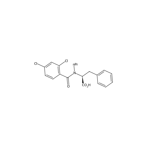 CCCN(C(=O)c1ccc(Cl)cc1Cl)[C@@H](Cc1ccccc1)C(=O)O